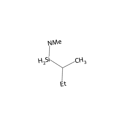 CCC(C)[SiH2]NC